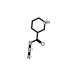 [N-]=[N+]=NC(=O)C1CCCNC1